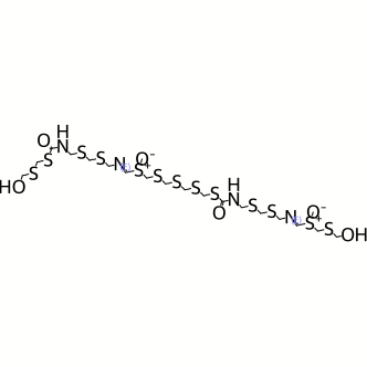 O=C(NCSCSC/N=C/[S+]([O-])CSCSCSCSC(=O)NCSCSC/N=C/[S+]([O-])CSCO)SCSCO